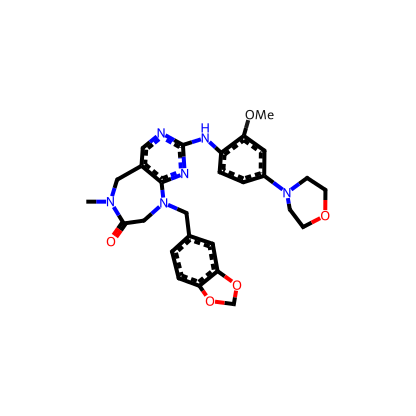 COc1cc(N2CCOCC2)ccc1Nc1ncc2c(n1)N(Cc1ccc3c(c1)OCO3)CC(=O)N(C)C2